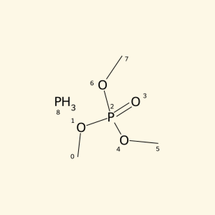 COP(=O)(OC)OC.P